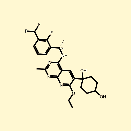 CCOc1nc2nc(C)nc(N[C@@H](C)c3cccc(C(F)F)c3F)c2cc1C1(O)CCC(O)CC1